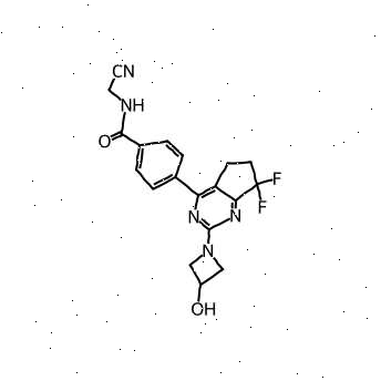 N#CCNC(=O)c1ccc(-c2nc(N3CC(O)C3)nc3c2CCC3(F)F)cc1